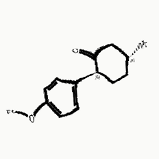 CCC[C@@H]1CC[C@@H](c2ccc(OCC)cc2)C(=O)C1